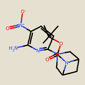 CC(C)(C)OC(=O)N1C2CC1CN(c1ccc([N+](=O)[O-])c(N)n1)C2